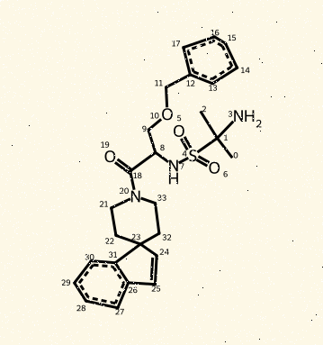 CC(C)(N)S(=O)(=O)NC(COCc1ccccc1)C(=O)N1CCC2(C=Cc3ccccc32)CC1